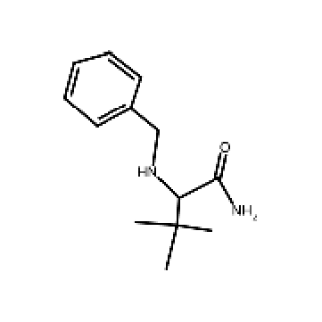 CC(C)(C)C(NCc1ccccc1)C(N)=O